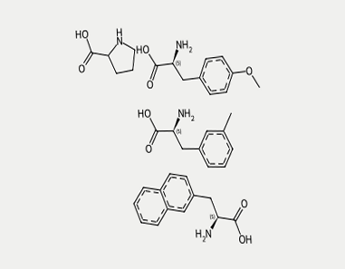 COc1ccc(C[C@H](N)C(=O)O)cc1.Cc1cccc(C[C@H](N)C(=O)O)c1.N[C@@H](Cc1ccc2ccccc2c1)C(=O)O.O=C(O)C1CCCN1